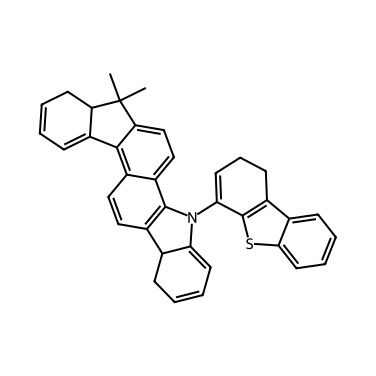 CC1(C)c2ccc3c4c(ccc3c2C2=CC=CCC21)C1CC=CC=C1N4C1=CCCc2c1sc1ccccc21